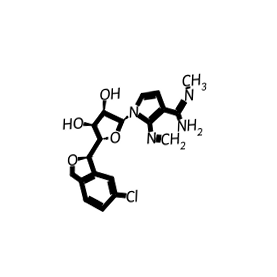 C=Nc1c(/C(N)=N\C)ccn1[C@@H]1O[C@H]([C@@H]2OCc3ccc(Cl)cc32)[C@@H](O)[C@H]1O